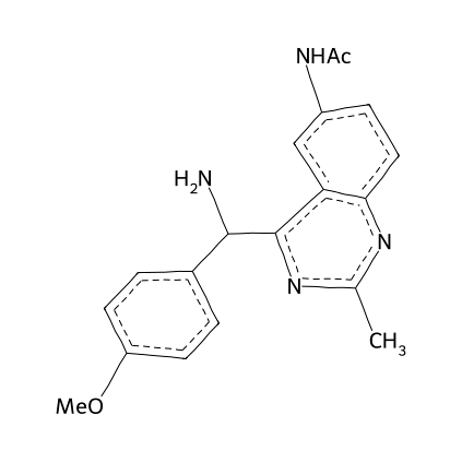 COc1ccc(C(N)c2nc(C)nc3ccc(NC(C)=O)cc23)cc1